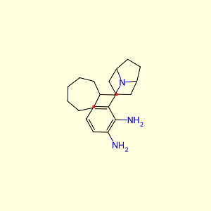 Nc1cccc(C2CC3CCC(C2)N3CC2CCCCCC2)c1N